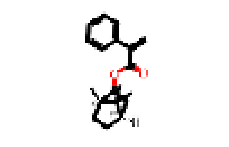 C=C(C(=O)OC1C[C@H]2CC[C@@]1(C)C2(C)C)c1ccccc1